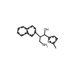 Cc1ccc(C(O)C(CN)c2ccc3ccccc3c2)s1